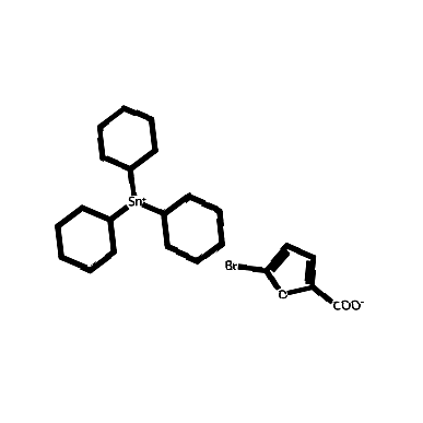 C1CC[CH]([Sn+]([CH]2CCCCC2)[CH]2CCCCC2)CC1.O=C([O-])c1ccc(Br)o1